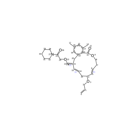 C=CCOC1/C=C/CCOC(=O)c2c(C)cc(C)cc2CC(=N\OCC(=O)N2CCCCC2)/C=C/C1